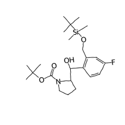 CC(C)(C)OC(=O)N1CCCC1C(O)c1ccc(F)cc1CO[Si](C)(C)C(C)(C)C